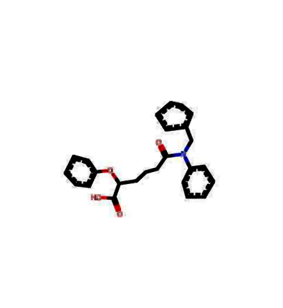 O=C(O)C(CCCC(=O)N(Cc1ccccc1)c1ccccc1)Oc1ccccc1